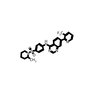 CC1CCCCN1S(=O)(=O)c1ccc(Nc2ncnc3cc(-c4ncccc4C(F)(F)F)ccc23)cc1